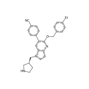 CCc1ccc(COc2nc3ccn(C[C@H]4CCNC4)c3cc2-c2ccc(C#N)cc2)cc1